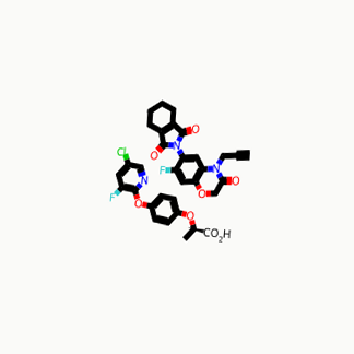 C#CCN1C(=O)COc2cc(F)c(N3C(=O)C4=C(CCCC4)C3=O)cc21.C[C@@H](Oc1ccc(Oc2ncc(Cl)cc2F)cc1)C(=O)O